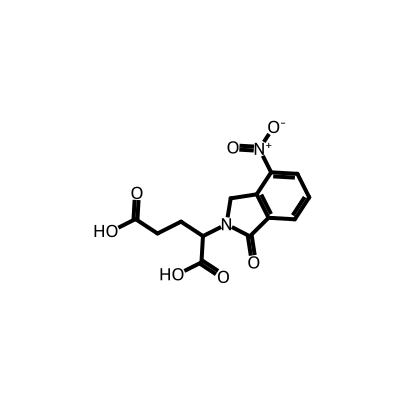 O=C(O)CCC(C(=O)O)N1Cc2c(cccc2[N+](=O)[O-])C1=O